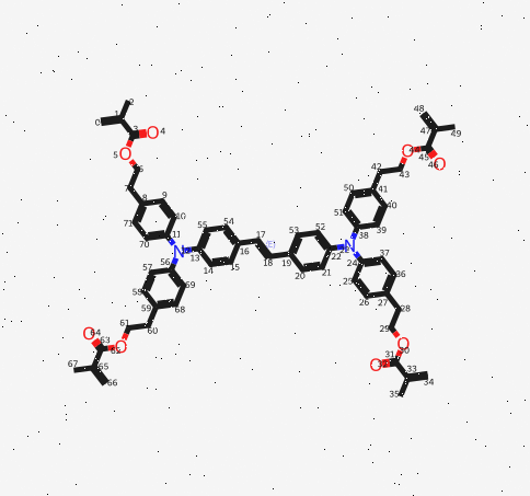 C=C(C)C(=O)OCCc1ccc(N(c2ccc(/C=C/c3ccc(N(c4ccc(CCOC(=O)C(=C)C)cc4)c4ccc(CCOC(=O)C(=C)C)cc4)cc3)cc2)c2ccc(CCOC(=O)C(=C)C)cc2)cc1